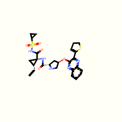 C=C[C@@H]1C[C@]1(NC(=O)[C@@H]1C[C@@H](Oc2nc3ccccc3nc2C2=CCCS2)CN1)C(=O)NS(=O)(=O)C1CC1